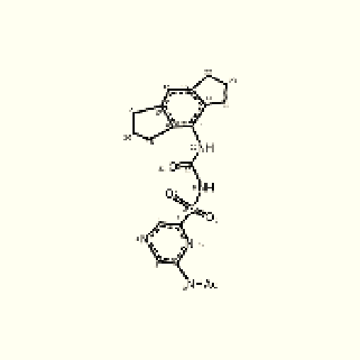 CC(=O)Nc1cncc(S(=O)(=O)NC(=O)Nc2c3c(cc4c2CCC4)CCC3)n1